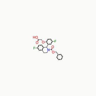 O=C(O)COc1ccc(F)cc1C1c2ccc(F)cc2CCN1C(=O)OCc1ccccc1